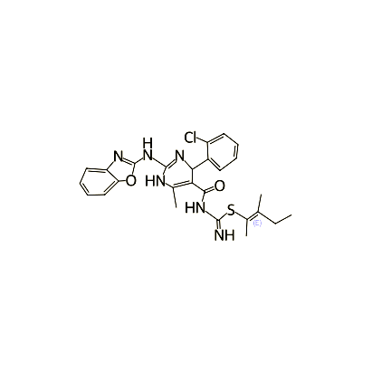 CC/C(C)=C(\C)SC(=N)NC(=O)C1=C(C)NC(Nc2nc3ccccc3o2)=NC1c1ccccc1Cl